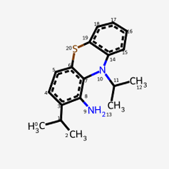 CC(C)c1ccc2c(c1N)N(C(C)C)c1ccccc1S2